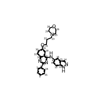 c1ccc(-c2nc(Nc3ccc4[nH]ncc4c3)c3cc(OCCCN4CCOCC4)ccc3n2)cc1